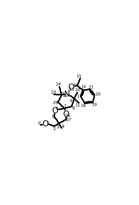 COCC1(C)COC2(CC(C)(C)N(OC(C)c3ccccc3)C(C)(C)C2)OC1